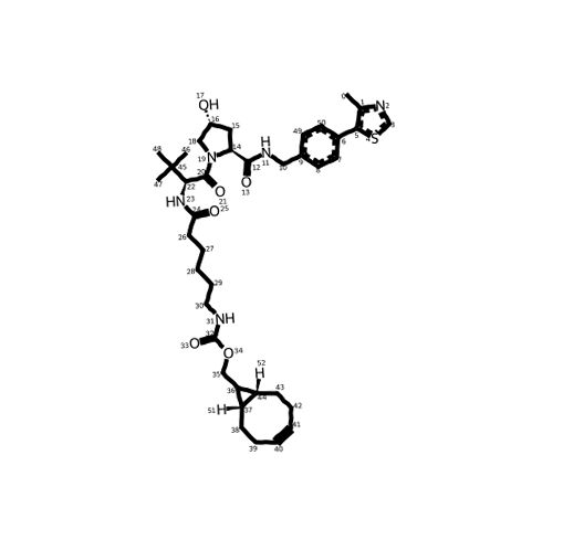 Cc1ncsc1-c1ccc(CNC(=O)[C@@H]2C[C@@H](O)CN2C(=O)[C@@H](NC(=O)CCCCCNC(=O)OCC2[C@H]3CCC#CCC[C@@H]23)C(C)(C)C)cc1